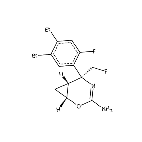 CCc1cc(F)c([C@@]2(CF)N=C(N)O[C@@H]3C[C@@H]32)cc1Br